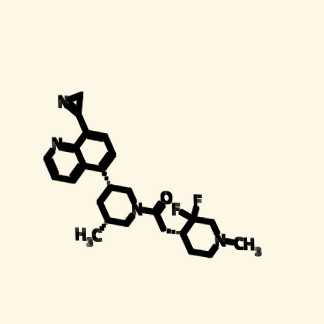 C[C@@H]1C[C@H](c2ccc(C3=NC3)c3ncccc23)CN(C(=O)C[C@H]2CCN(C)CC2(F)F)C1